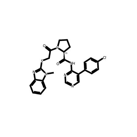 Cn1c(SCC(=O)N2CCC[C@H]2C(=O)Nc2ncncc2-c2ccc(Cl)cc2)nc2ccccc21